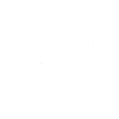 O=C(NCC12CC3CC(CC(C3)C1)C2)c1cc(OCCC[S+]([O-])CCCO)ccc1Cl